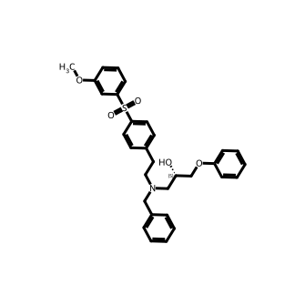 COc1cccc(S(=O)(=O)c2ccc(CCN(Cc3ccccc3)C[C@H](O)COc3ccccc3)cc2)c1